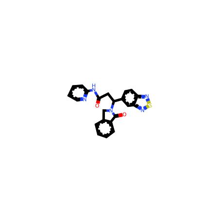 O=C(CC(c1ccc2nsnc2c1)N1Cc2ccccc2C1=O)Nc1ccccn1